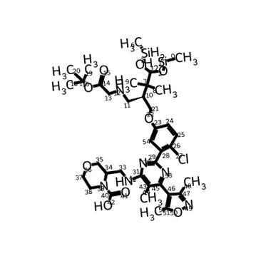 C[SiH2]OC(O[SiH2]C)C(C)(C)[C@H](CNCC(=O)OC(C)(C)C)COc1ccc(Cl)c(-c2nc(NCC3COCCN3C(=O)O)c(C)c(-c3c(C)noc3C)n2)c1